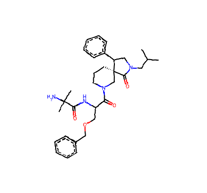 CC(C)CN1CC(c2ccccc2)[C@@]2(CCCN(C(=O)C(COCc3ccccc3)NC(=O)C(C)(C)N)C2)C1=O